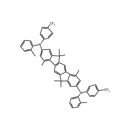 Cc1ccccc1N(c1ccc(C(F)(F)F)cc1)c1cc(C)c2c(c1)C(C)(C)c1cc3c(cc1-2)C(C)(C)c1cc(N(c2ccc(C(F)(F)F)cc2)c2ccccc2C)cc(C)c1-3